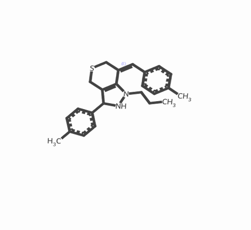 CCCN1NC(c2ccc(C)cc2)C2=C1/C(=C\c1ccc(C)cc1)CSC2